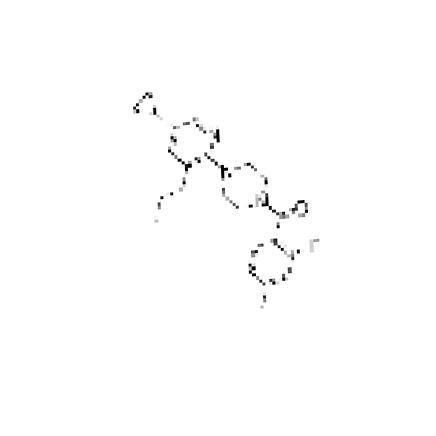 CCCc1cc(C2CC2)cnc1N1CCN(C(=O)c2ccc(C)cc2F)CC1